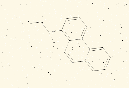 O=[C]CCc1cccc2c1ccc1ccccc12